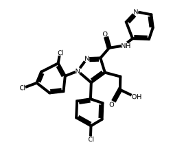 O=C(O)Cc1c(C(=O)Nc2cccnc2)nn(-c2ccc(Cl)cc2Cl)c1-c1ccc(Cl)cc1